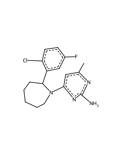 Cc1cc(N2CCCCCC2c2cc(F)ccc2Cl)nc(N)n1